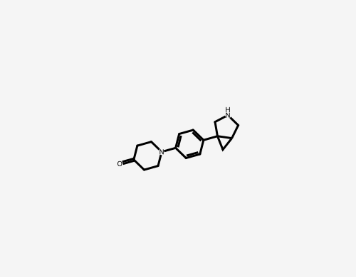 O=C1CCN(c2ccc(C34CNCC3C4)cc2)CC1